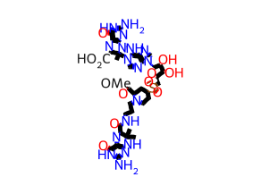 COC(=O)C1CC(S(=O)(=O)C[C@H]2O[C@@H](n3cnc4c(NN5c6nc(N)[nH]c(=O)c6N=C(C(=O)O)C5(C)C)ncnc43)C(O)C2O)CCN1CCCNC(=O)C1=Nc2c(nc(N)[nH]c2=O)NC1(C)C